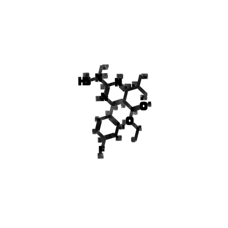 CCOC(=O)c1c(-c2ccc(F)cc2)nc(N(C)S)nc1C(C)C